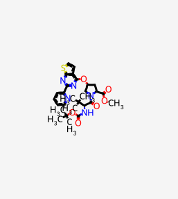 COC(=O)C1CC(Oc2nc(-c3ccccn3)nc3sccc23)CN1C(=O)[C@@H](NC(=O)OC(C)(C)C)C(C)(C)C